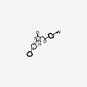 N#Cc1ccc(C(=O)CC2NC(N3CCN(c4ccccc4)CC3)=NC2=O)cc1